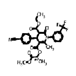 CCOC(=O)C1C(=O)N(c2cccc(C(F)(F)F)c2)C(C)=C(C(=O)O[C@H](C)C(=O)OC)C1c1ccc(C#N)cc1